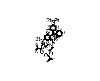 C=C(C)C(=O)OCCN(CCNC1(c2ccccc2C=O)c2ccc(N(CC)CC)cc2Oc2cc(N(CC)CC)ccc21)CCOC(=O)C(=C)C